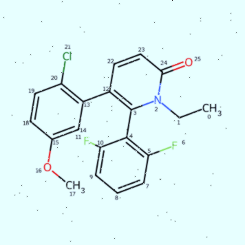 CCn1c(-c2c(F)cccc2F)c(-c2cc(OC)ccc2Cl)ccc1=O